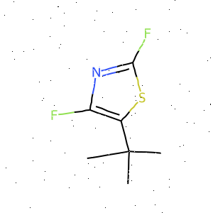 CC(C)(C)c1sc(F)nc1F